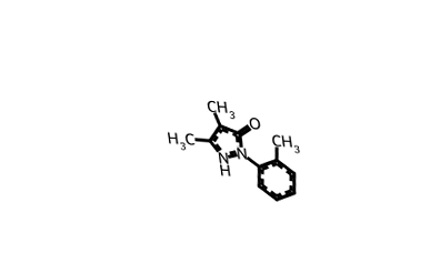 Cc1ccccc1-n1[nH]c(C)c(C)c1=O